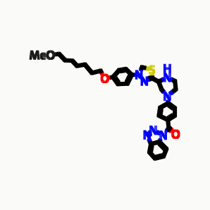 COCCCCCCCOc1ccc(N2CSC(C3CN(c4ccc(C(=O)n5nnc6ccccc65)cc4)CCN3)=N2)cc1